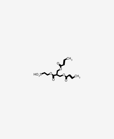 CC=CC(=O)OCC(COC(=O)C=CC)C(=O)OCCS(=O)(=O)O